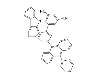 N#Cc1cc(C#N)c(-n2c3ccccc3c3ccccc32)c(-c2cccc(-c3c4ccccc4c(-c4ccccc4)c4ccccc34)c2)c1